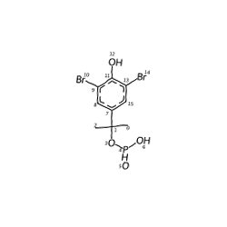 CC(C)(O[PH](=O)O)c1cc(Br)c(O)c(Br)c1